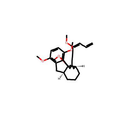 C=C/C=C(/OC)C1=C(OC)[C@@]23c4c(OC)ccc(OC)c4C[C@@H]2CCC[C@H]3C1